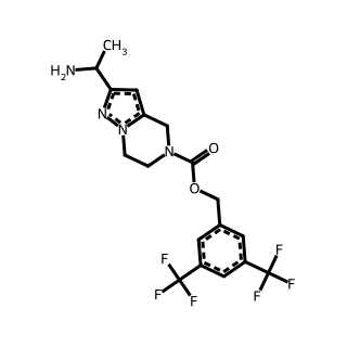 CC(N)c1cc2n(n1)CCN(C(=O)OCc1cc(C(F)(F)F)cc(C(F)(F)F)c1)C2